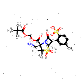 Cc1ccc(S(=O)(=O)O)c([C@@H]2C(=O)N3[C@@H]2S(=O)(=O)C(C)(C)[C@]3(CN)C(=O)OCOC(=O)C(C)(C)C)c1